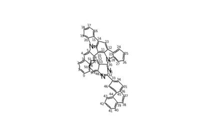 c1ccc2cc3c(cc2c1)c1c2c(cc4c5ccccc5n3c41)c1ccccc1n2-c1nc(-c2ccc3ccc4ccccc4c3c2)nc2ccccc12